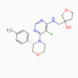 OC1(CNc2ncnc(N3CCOC[C@@H]3c3ccc(C(F)(F)F)cc3)c2F)CCOC1